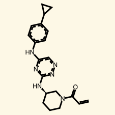 C=CC(=O)N1CCC[C@@H](Nc2nncc(Nc3ccc(C4CC4)cc3)n2)C1